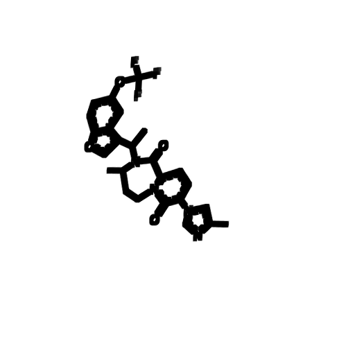 Cc1cn(-c2ccc3n(c2=O)CCC(C)N(C(C)c2coc4ccc(OC(F)(F)F)cc24)C3=O)cn1